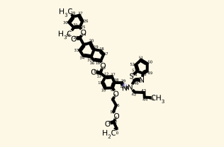 C=CC(=O)OCCCOc1ccc(C(=O)Oc2ccc3cc(C(=O)Oc4ccc(C)cc4C)ccc3c2)cc1/C=N/N(CCCC)c1nc2ccccc2s1